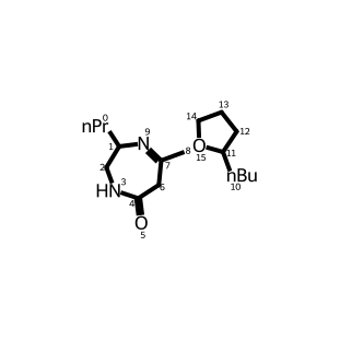 CCCC1CNC(=O)CC(C)=N1.CCCCC1CCCO1